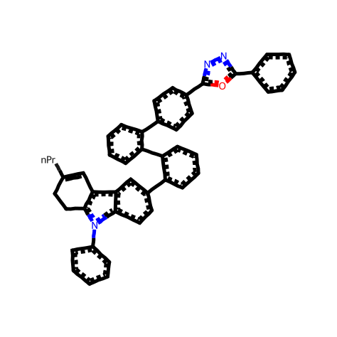 CCCC1=Cc2c(n(-c3ccccc3)c3ccc(-c4ccccc4-c4ccccc4-c4ccc(-c5nnc(-c6ccccc6)o5)cc4)cc23)CC1